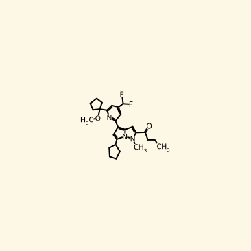 CCCC(=O)c1cc2c(-c3cc(C(F)F)cc(C4(OC)CCCC4)n3)cc(C3CCCC3)n2n1C